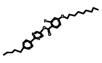 CCCCCCCCCOc1ccc(C(=O)Oc2cnc(-c3ccc(CCCCC)cc3)nc2)c(F)c1